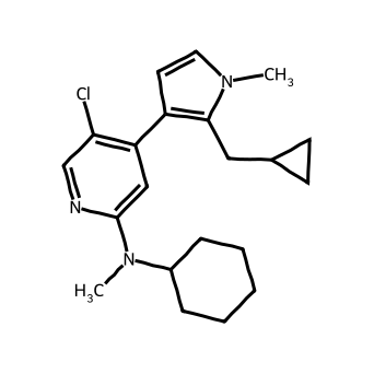 CN(c1cc(-c2ccn(C)c2CC2CC2)c(Cl)cn1)C1CCCCC1